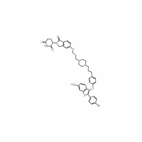 O=C1CCC(N2Cc3cc(OCCCN4CCN(CCCc5ccc(Oc6c(-c7ccc(Br)cc7)sc7cc(O)ccc67)cc5)CC4)ccc3C2=O)C(=O)N1